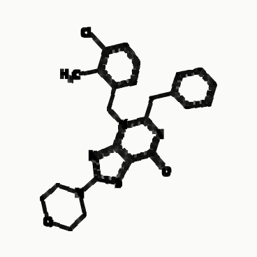 Cc1c(Cl)cccc1Cn1c(Cc2ccccc2)nc(=O)c2sc(N3CCOCC3)nc21